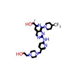 C[C@@H](O)c1cc2cnc(Nc3ccc(CN4CCN(CCO)CC4)cn3)nc2c(N2CCC(C(F)(F)F)CC2)n1